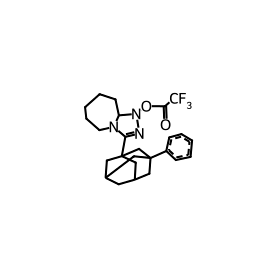 O=C(ON1N=C(C23CC4CC(C2)CC(c2ccccc2)(C4)C3)N2CCCCCC12)C(F)(F)F